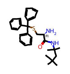 CC(C)(C)CC(C)(C)NC(=O)[C@@H](N)CSC(c1ccccc1)(c1ccccc1)c1ccccc1